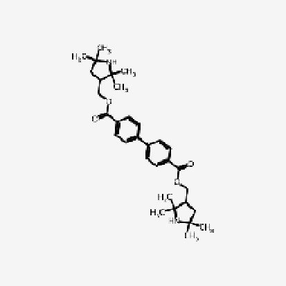 CC1(C)CC(COC(=O)c2ccc(-c3ccc(C(=O)OCC4CC(C)(C)NC4(C)C)cc3)cc2)C(C)(C)N1